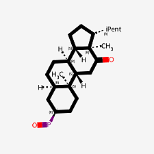 CCC[C@@H](C)C1CC[C@H]2[C@@H]3CC[C@@H]4C[C@H](P=O)CC[C@]4(C)[C@H]3CC(=O)[C@]12C